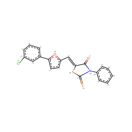 O=C1/C(=C/c2ccc(-c3cccc(Cl)c3)o2)SC(=S)N1c1ccccc1